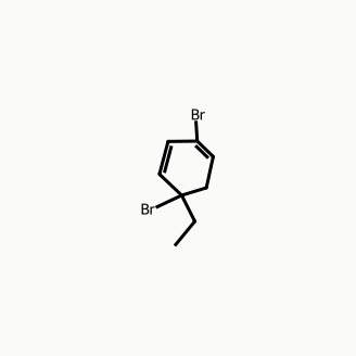 CCC1(Br)C=CC(Br)=CC1